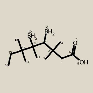 BC(C(C)(C)CC(=O)O)C(B)(C)C(C)(C)CC